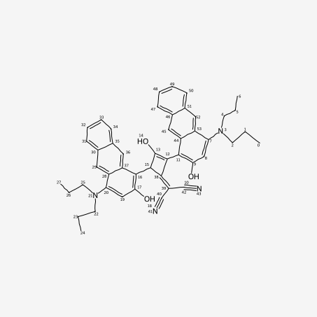 CCCN(CCC)c1cc(O)c(C2=C(O)C(c3c(O)cc(N(CCC)CCC)c4cc5ccccc5cc34)C2=C(C#N)C#N)c2cc3ccccc3cc12